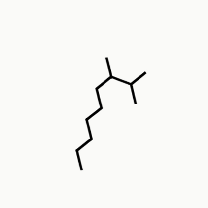 CCCCCC[C](C)C(C)C